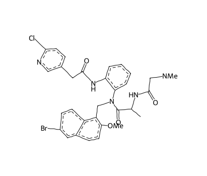 CNCC(=O)NC(C)C(=O)N(Cc1c(OC)ccc2cc(Br)ccc12)c1ccccc1NC(=O)Cc1ccc(Cl)nc1